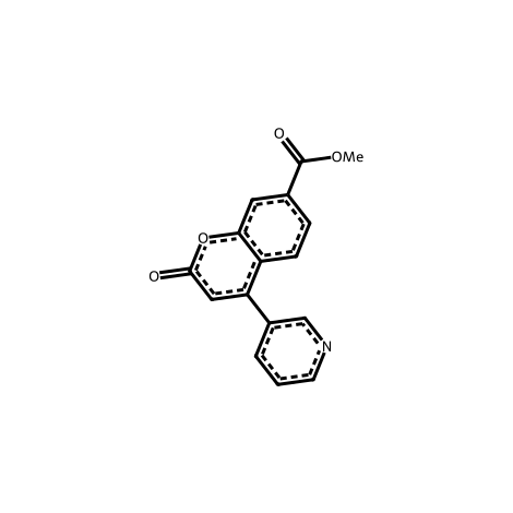 COC(=O)c1ccc2c(-c3cccnc3)cc(=O)oc2c1